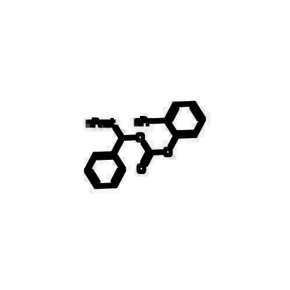 CCCCCC(OC(=O)Oc1ccccc1CCC)c1ccccc1